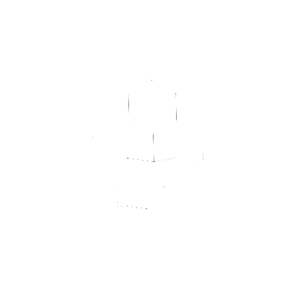 Cl.O=C(O)C1(C2CCCCC2)CCNCC1